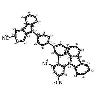 N#Cc1cc(C#N)c(-c2cccc(-c3ccc(-n4c5ccccc5c5cc(C#N)ccc54)cc3)c2)c(-n2c3ccccc3c3ccccc32)c1